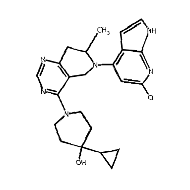 CC1Cc2ncnc(N3CCC(O)(C4CC4)CC3)c2CN1c1cc(Cl)nc2[nH]ccc12